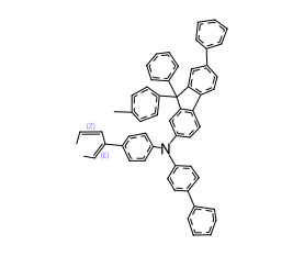 C/C=C\C(=C/C)c1ccc(N(c2ccc(-c3ccccc3)cc2)c2ccc3c(c2)C(c2ccccc2)(c2ccc(C)cc2)c2cc(-c4ccccc4)ccc2-3)cc1